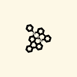 c1ccc(N2c3cccc4c3B3c5c2ccc2c6ccccc6c6cccc(c6c52)N3c2ccccc2-4)cc1